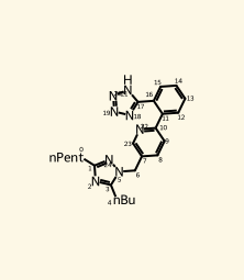 CCCCCc1nc(CCCC)n(Cc2ccc(-c3ccccc3-c3nnn[nH]3)nc2)n1